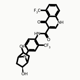 O=C(Nc1ccc(N2C3C[C@H](O)C2CC3O)cc1C(F)(F)F)c1c[nH]c2cccc(C(F)(F)F)c2c1=O